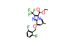 CCOC(=O)c1c(C(F)(F)F)nc2c(OCc3c(F)cccc3F)cc(C)cn12